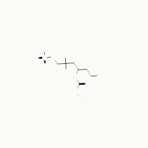 CC(C)(COS(C)(=O)=O)CC(CCS(=O)(=O)O)NC(=O)OC(C)(C)C